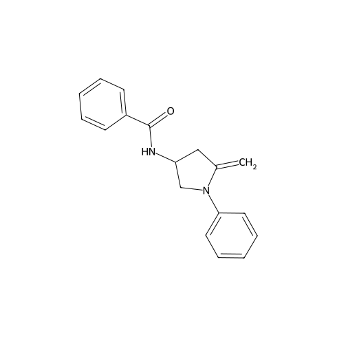 C=C1CC(NC(=O)c2ccccc2)CN1c1ccccc1